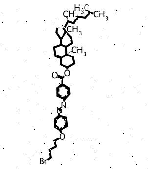 CC(C)CCC[C@@H](C)[C@H]1CCC2C3CC=C4CC(OC(=O)c5ccc(N=Nc6ccc(OCCCCBr)cc6)cc5)CC[C@]4(C)C3CC[C@@]21C